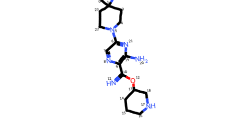 CC1(N)CCN(c2cnc(C(=N)OC3CCCNC3)c(N)n2)CC1